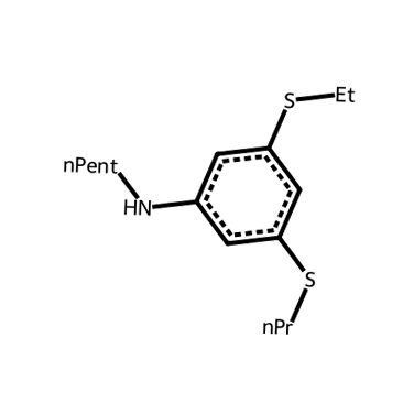 CCCCCNc1cc(SCC)cc(SCCC)c1